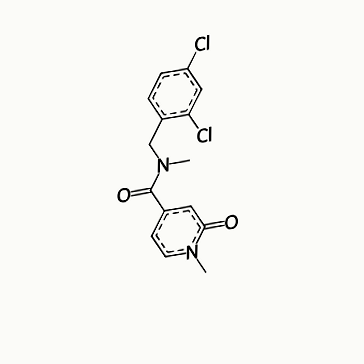 CN(Cc1ccc(Cl)cc1Cl)C(=O)c1ccn(C)c(=O)c1